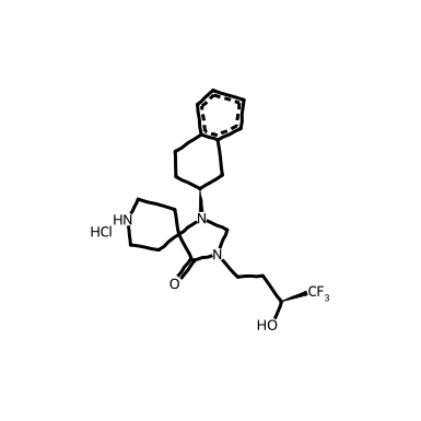 Cl.O=C1N(CC[C@H](O)C(F)(F)F)CN([C@H]2CCc3ccccc3C2)C12CCNCC2